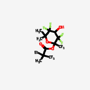 CCC(C)(C(=O)OC1(C(F)(F)F)OC(C)(C(F)(F)F)C(F)(F)C(O)C1(F)F)C(F)(F)F